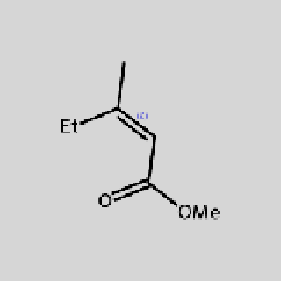 CC/C(C)=C\C(=O)OC